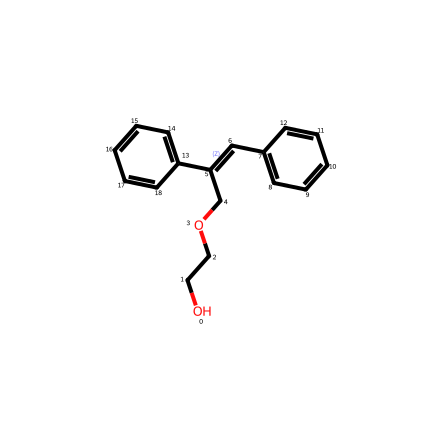 OCCOC/C(=C\c1ccccc1)c1ccccc1